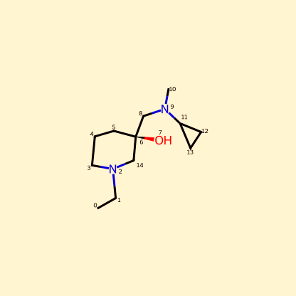 CCN1CCC[C@](O)(CN(C)C2CC2)C1